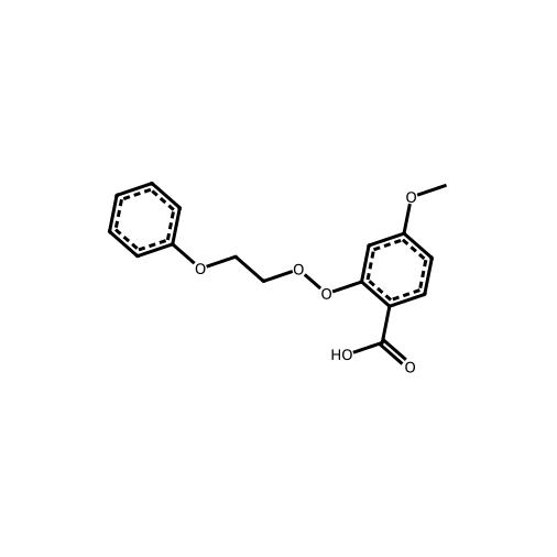 COc1ccc(C(=O)O)c(OOCCOc2ccccc2)c1